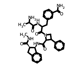 CNC(=O)[C@@H]1Cc2ccccc2[C@@H]1NC(=O)C1C(c2ccccc2)CN1C(=O)C(Cc1cccc(C(N)=O)c1)NC(=O)C(C)N